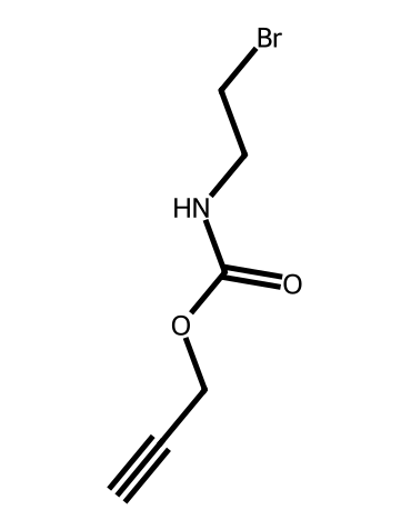 C#CCOC(=O)NCCBr